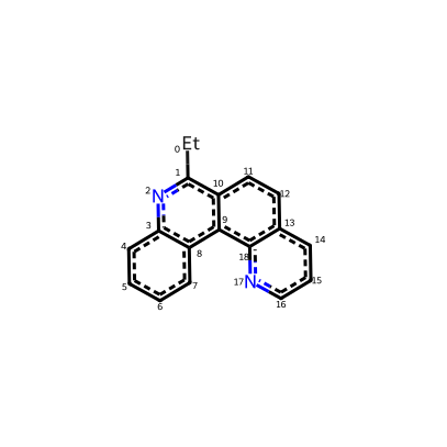 CCc1nc2ccccc2c2c1ccc1cccnc12